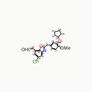 COc1ccc(Cc2nc3cc(Cl)cc(CC=O)c3o2)cc1OC1CCCC1